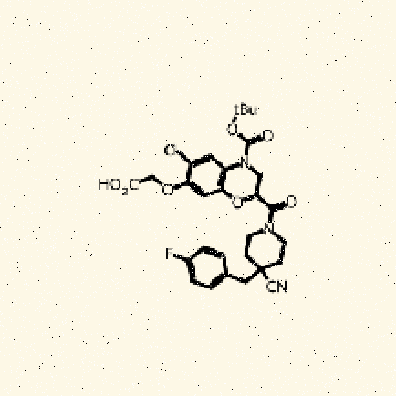 CC(C)(C)OC(=O)N1CC(C(=O)N2CCC(C#N)(Cc3ccc(F)cc3)CC2)Oc2cc(OCC(=O)O)c(Cl)cc21